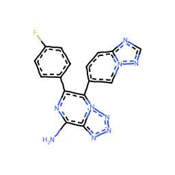 Nc1nc(-c2ccc(F)cc2)c(-c2ccc3ncnn3c2)n2nnnc12